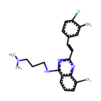 Cc1cc(/C=C/c2nc(NCCCN(C)C)c3cccc(C(F)(F)F)c3n2)ccc1Cl